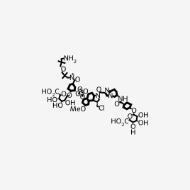 COc1ccc2c(OS(=O)(=O)Oc3cc(C(=O)N(C)CC(C)(C)COCC(C)(C)CN)ccc3O[C@@H]3O[C@H](C(=O)O)[C@@H](O)[C@H](O)[C@H]3O)cc3c(c2c1)[C@H](CCl)CN3C(=O)c1cn2cc(NC(=O)c3ccc(O[C@@H]4O[C@H](C(=O)O)[C@@H](O)[C@H](O)[C@H]4O)cc3)ccc2n1